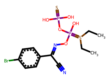 CCS(CC)=P(O)(ON=C(C#N)c1ccc(Br)cc1)OP(O)(O)=S